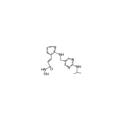 CC(C)Nc1ncc(CNc2ccccc2C=CC(=O)NO)cn1